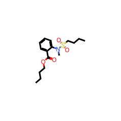 CCCCOC(=O)c1ccccc1N(C)S(=O)(=O)CCCC